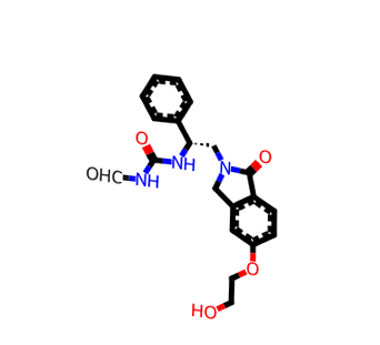 O=CNC(=O)N[C@@H](CN1Cc2cc(OCCO)ccc2C1=O)c1ccccc1